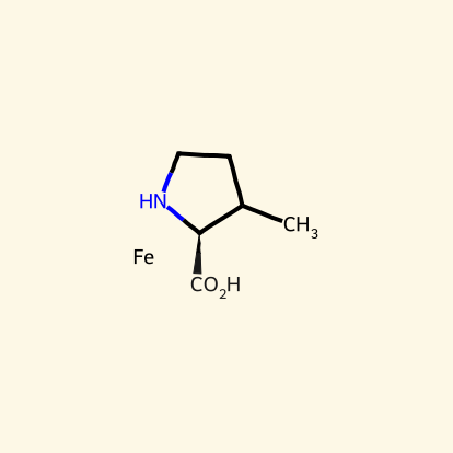 CC1CCN[C@@H]1C(=O)O.[Fe]